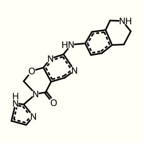 O=C1c2cnc(Nc3ccc4c(c3)CNCC4)nc2OCN1c1ncc[nH]1